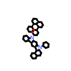 c1ccc(-c2cccc3cccc(-c4ccc(-n5c6ccccc6c6cc7c8c9ccccc9ccc8n(-c8ccccc8)c7cc65)cc4)c23)cc1